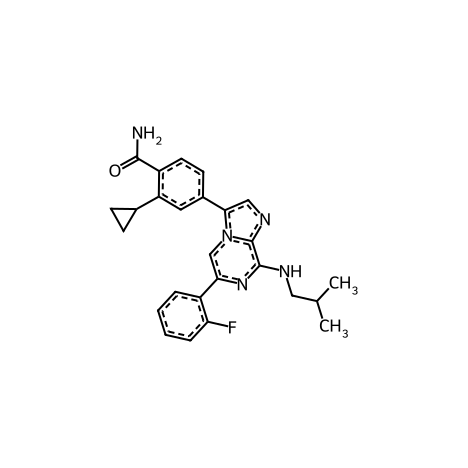 CC(C)CNc1nc(-c2ccccc2F)cn2c(-c3ccc(C(N)=O)c(C4CC4)c3)cnc12